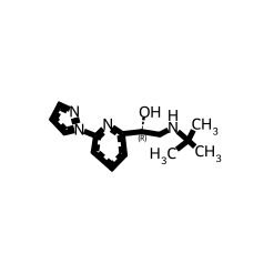 CC(C)(C)NC[C@@H](O)c1cccc(-n2cccn2)n1